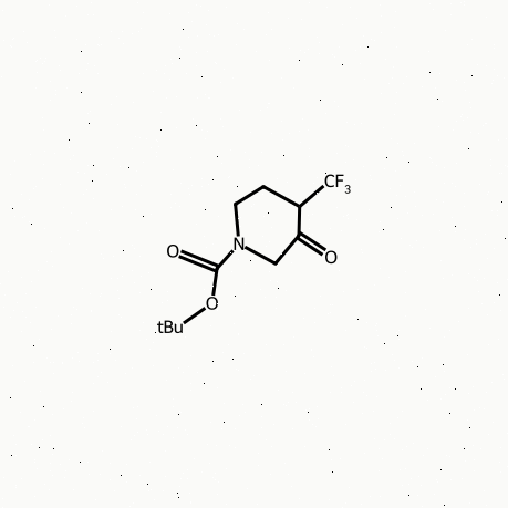 CC(C)(C)OC(=O)N1CCC(C(F)(F)F)C(=O)C1